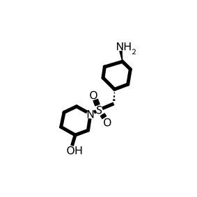 N[C@H]1CC[C@H](CS(=O)(=O)N2CCCC(O)C2)CC1